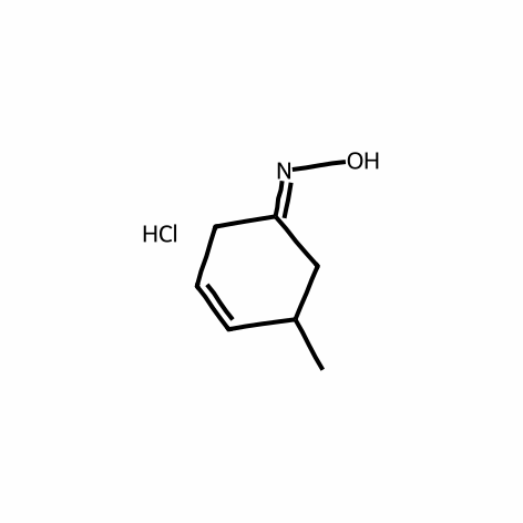 CC1C=CCC(=NO)C1.Cl